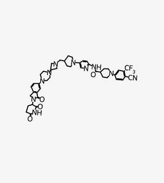 N#Cc1ccc(N2CCC(C(=O)Nc3ccc(N4CCC(CN5CC(N6CCN(c7ccc8c(c7)C(=O)N(C7CCC(=O)NC7=O)C8)CC6)C5)CC4)cn3)CC2)cc1C(F)(F)F